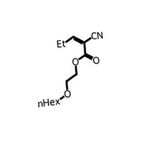 CCC=C(C#N)C(=O)OCCOCCCCCC